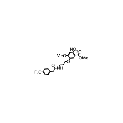 COC(=O)c1cc(OCCCNC(=O)Cc2ccc(C(F)(F)F)cc2)c(OC)cc1[N+](=O)[O-]